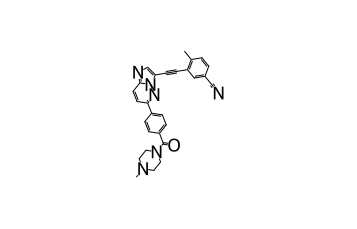 Cc1ccc(C#N)cc1C#Cc1cnc2ccc(-c3ccc(C(=O)N4CCN(C)CC4)cc3)nn12